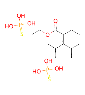 CCOC(=O)C(CC)=C(C(C)C)C(C)C.OP(O)(O)=S.OP(O)(O)=S